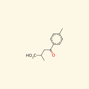 Cc1ccc(C(=O)CC(C)C(=O)O)cc1